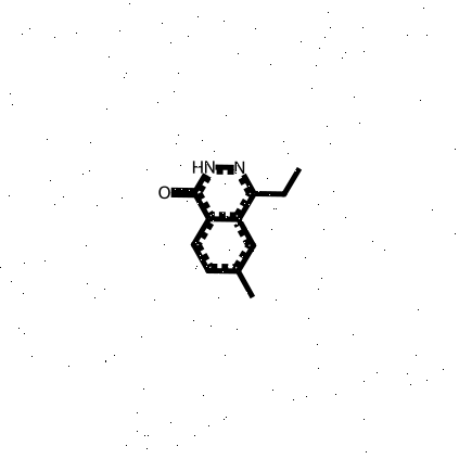 CCc1n[nH]c(=O)c2ccc(C)cc12